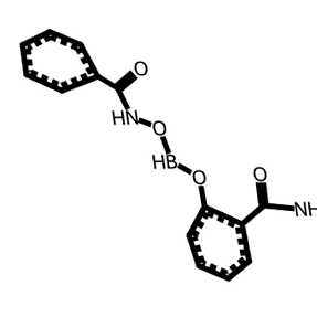 NC(=O)c1ccccc1OBONC(=O)c1ccccc1